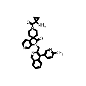 NC1(C(=O)N2CCC3(CC2)C(=O)N(Cc2ncc4ccccc4c2-c2ccc(C(F)(F)F)nc2)c2cnccc23)CC1